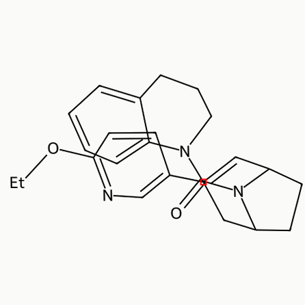 CCOc1ccc(C2=CC3CCC(C2)N3C(=O)N2CCCc3ccccc32)cn1